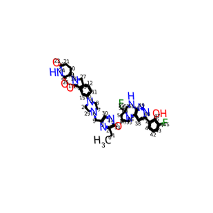 CCc1nc(CN2CCN(c3ccc4c(c3)C(=O)N([C@H]3CCC(=O)NC3=O)C4)CC2)cnc1O[C@H]1CN2c3cc(-c4cccc(F)c4O)nnc3NC[C@@]2(CF)C1